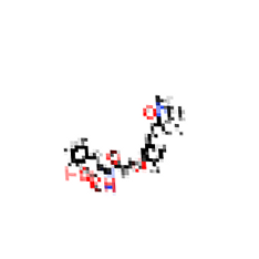 CCN(CC)C(=O)C(=C=Cc1cccc(OCCC(=O)N[C@@H](Cc2ccccc2)B(O)O)c1)C#N